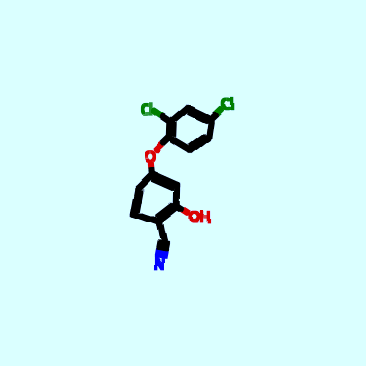 N#Cc1ccc(Oc2ccc(Cl)cc2Cl)cc1O